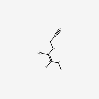 C#[N+]CCC(O)=C(C)CC